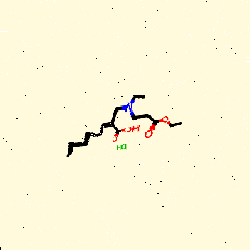 CCCCCC=C(CN(CC)CCC(=O)OCC)C(=O)O.Cl